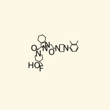 Cc1cccc(N2CCN(C(=O)Cn3nc(C(=O)N4CCC(O)(CF)CC4)c4c3CCCC4)CC2)c1C